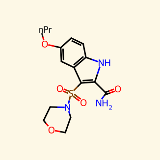 CCCOc1ccc2[nH]c(C(N)=O)c(S(=O)(=O)N3CCOCC3)c2c1